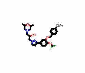 COc1ccc(COc2cc(-c3ccn(CC(O)CN4CC(C)OC(C)C4)n3)ccc2OC(F)F)cc1